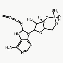 B[PH]1(O)OCC2OC(N3c4ncnc(N)c4NC3N=C=C=C)C(O)[C@@H]2O1